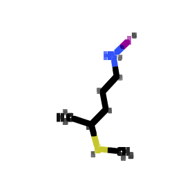 CSC(C)CCCNI